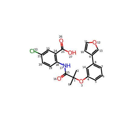 CC(C)(Oc1cccc(-c2ccoc2)c1)C(=O)Nc1ccc(Cl)cc1C(=O)O